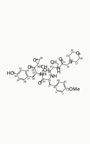 COc1ccc(C[C@H](NC(=O)[C@H](C)NC(=O)CN2CCOCC2)C(=O)N[C@@H](Cc2ccc(O)cc2)C(=O)[C@]2(C)CO2)cc1